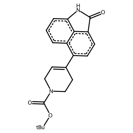 CC(C)(C)OC(=O)N1CC=C(c2ccc3c4c(cccc24)NC3=O)CC1